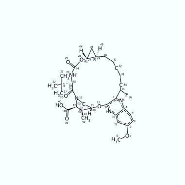 COc1ccc2nc3c(nc2c1)O[C@H]1CN(C(=O)[C@H](C(C)(C)C)NC(=O)O[C@@H]2C[C@H]2CCCCCC3F)[C@H](C(=O)O)[C@@H]1C